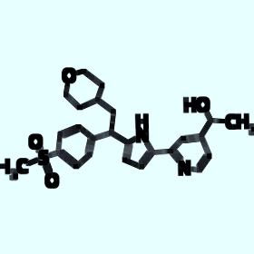 CC(O)c1ccnc(-c2ccc(C(CC3CCOCC3)c3ccc(S(C)(=O)=O)cc3)[nH]2)c1